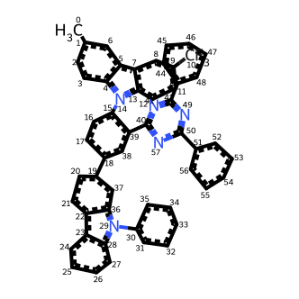 Cc1ccc2c(c1)c1cc(C(F)(F)F)ccc1n2-c1ccc(-c2ccc3c4ccccc4n(-c4ccccc4)c3c2)cc1-c1nc(-c2ccccc2)nc(-c2ccccc2)n1